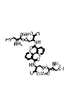 COC(=O)C(CSSC(=O)[C@@H](N)CS)NC(=O)c1cccnc1-c1ncccc1C(=O)NC(CSSC(=O)[C@@H](N)CS)C(=O)OC